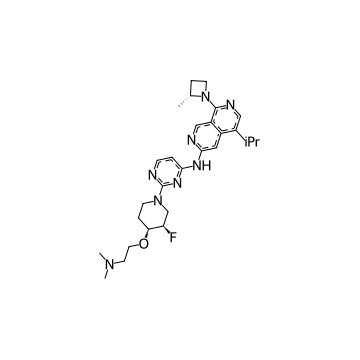 CC(C)c1cnc(N2CC[C@H]2C)c2cnc(Nc3ccnc(N4CC[C@H](OCCN(C)C)[C@H](F)C4)n3)cc12